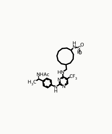 CC(=O)N[C@H](C)c1ccc(Nc2ncc(C(F)(F)F)c(NCC3CCCCCCC(N[SH](=O)=O)CCC3)n2)cc1